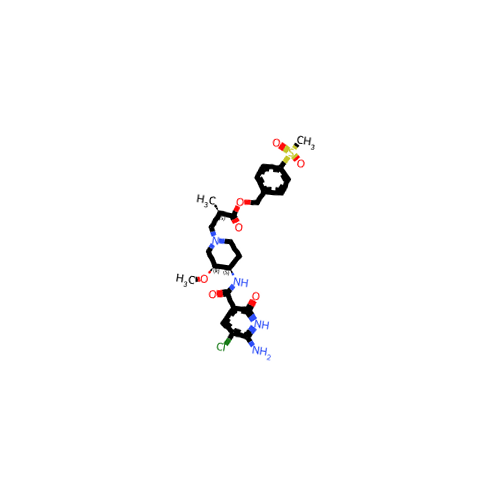 CO[C@@H]1CN(C[C@H](C)C(=O)OCc2ccc(S(C)(=O)=O)cc2)CC[C@@H]1NC(=O)c1cc(Cl)c(N)[nH]c1=O